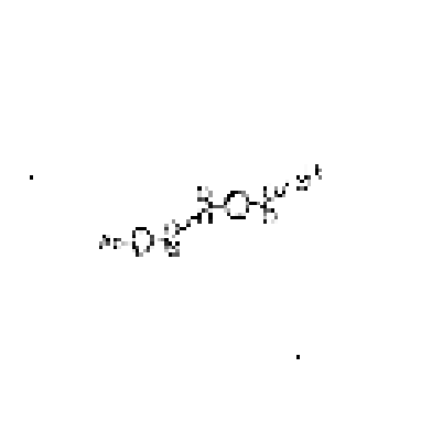 CCOCCOC(=O)c1ccc(C(=O)OCCOC(=O)c2ccc(C(C)=O)cc2)cc1